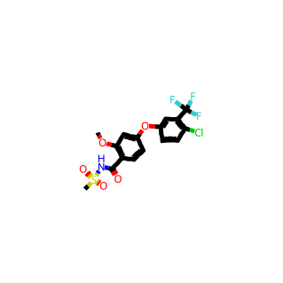 COc1cc(Oc2ccc(Cl)c(C(F)(F)F)c2)ccc1C(=O)NS(C)(=O)=O